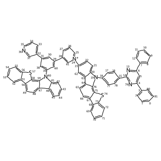 c1ccc(-c2cc(-c3ccccc3)nc(-c3ccc(-n4c5ccc(-[n+]6cccc(-c7cc(-c8cccnc8)cc(-n8c9ccccc9c9ccc%10c%11ccccc%11sc%10c98)c7)c6)cc5c5ccc6c7ccccc7sc6c54)cc3)n2)cc1